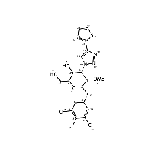 COC1C(Sc2cc(Cl)c(F)c(Cl)c2)OC(CO)C(O)C1n1cc(-c2nccs2)nn1